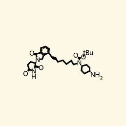 CC(C)(C)OC(=O)N(CCCCCC#Cc1cccc2c1CN(C1CCC(=O)NC1=O)C2=O)[C@H]1CC[C@@H](N)CC1